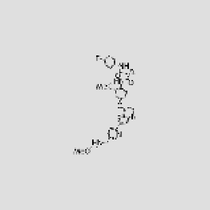 COCCNCc1ccc(-c2cc3nccc(Oc4ccc(NC(=O)C5(C(=O)Nc6ccc(F)cc6)CC5)c(OC)c4)c3s2)nc1